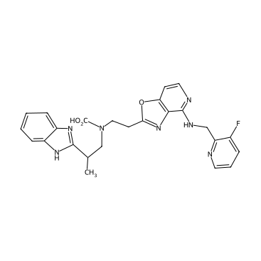 CC(CN(CCc1nc2c(NCc3ncccc3F)nccc2o1)C(=O)O)c1nc2ccccc2[nH]1